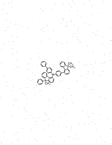 CC1(C)c2ccccc2-c2c(-c3ccc(N(c4ccc(-c5ccccc5)cc4)c4cccc5c4-c4ccccc4C5(C)c4ccccc4)cc3)cccc21